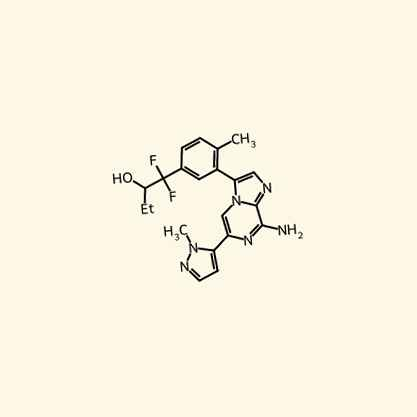 CCC(O)C(F)(F)c1ccc(C)c(-c2cnc3c(N)nc(-c4ccnn4C)cn23)c1